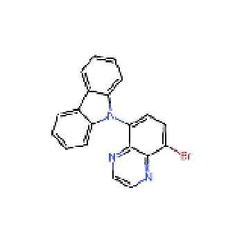 Brc1ccc(-n2c3ccccc3c3ccccc32)c2nccnc12